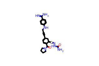 N=C(N)c1ccc(NCC#CC2=CC=C(C(=O)N3CCCC3)C(=C=NNC(N)=O)C2)cc1